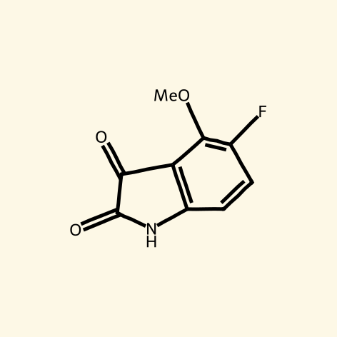 COc1c(F)ccc2c1C(=O)C(=O)N2